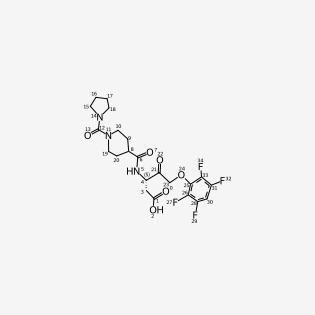 O=C(O)C[C@H](NC(=O)C1CCN(C(=O)N2CCCC2)CC1)C(=O)COc1c(F)c(F)cc(F)c1F